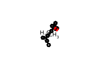 CC(C)(c1ccc(N(c2ccccc2)c2ccc(C3CCCCC3)cc2)cc1)c1ccc(N(c2ccccc2)c2cccc3c4ccccc4n(-c4ccccc4)c23)cc1